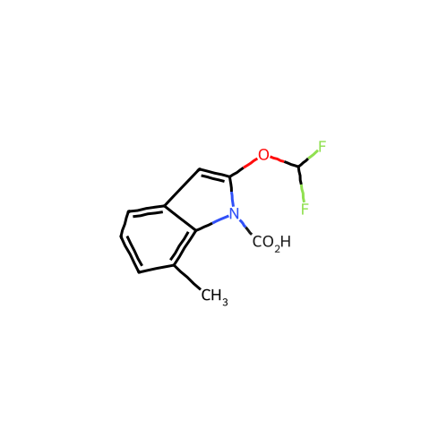 Cc1cccc2cc(OC(F)F)n(C(=O)O)c12